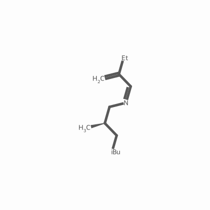 C=C(/C=N\C[C@H](C)CC(C)CC)CC